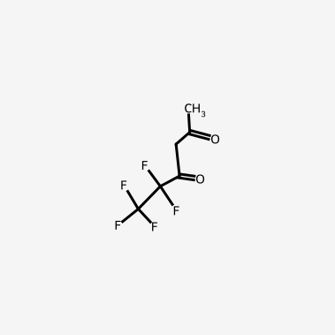 CC(=O)CC(=O)C(F)(F)C(F)(F)F